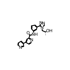 C[C@@H](O)Cn1cnnc1-c1cccc(NC(=O)c2cc(-c3cccnc3)ccn2)c1